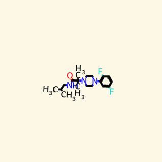 CC(C)CNC(=O)C(C)(C)N1CCN(c2cc(F)ccc2F)CC1